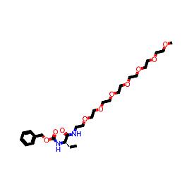 CC[C@H](NC(=O)OCc1ccccc1)C(=O)NCCOCCOCCOCCOCCOCCOCCOC